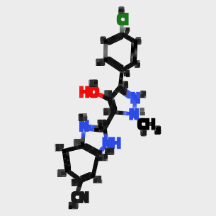 Cn1nc(-c2ccc(Cl)cc2)c(O)c1-c1nc2ccc(C#N)cc2[nH]1